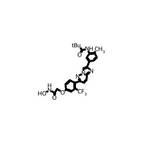 Cc1ccc(-c2cn3nc(-c4ccc(OCC(=O)NO)cc4C(F)(F)F)ccc3n2)cc1NC(=O)C(C)(C)C